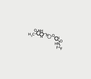 Cc1cc2ncc(CN3CCC[C@@H](Oc4ccc(C(=O)NCC(F)F)nc4)C3)cc2[nH]c1=O